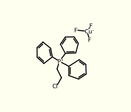 ClCC[P+](c1ccccc1)(c1ccccc1)c1ccccc1.[F][Cu-]([F])[F]